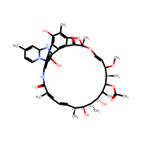 COC1/C=C/O[C@@]2(C)Oc3c(C)c(O)c4c(O)c(c5c(c4c3C2=O)NC2C=C(C)C=CN52)NC(=O)/C(C)=C\C=C\[C@H](C)[C@H](O)[C@@H](C)[C@@H](O)C(C)C(OC(C)=O)[C@@H]1C